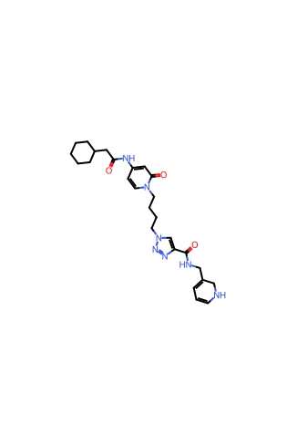 O=C(CC1CCCCC1)Nc1ccn(CCCCn2cc(C(=O)NCC3=CC=CNC3)nn2)c(=O)c1